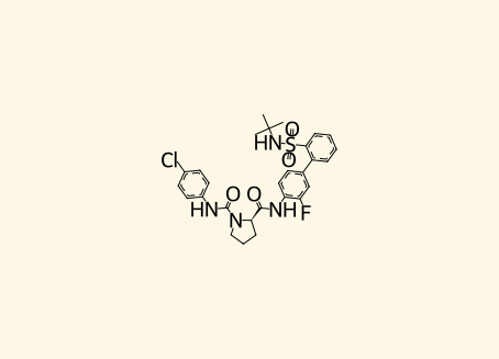 CC(C)(C)NS(=O)(=O)c1ccccc1-c1ccc(NC(=O)[C@H]2CCCN2C(=O)Nc2ccc(Cl)cc2)c(F)c1